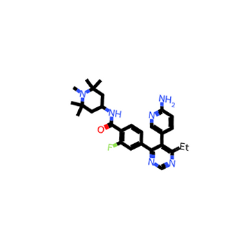 CCc1ncnc(-c2ccc(C(=O)NC3CC(C)(C)N(C)C(C)(C)C3)c(F)c2)c1-c1ccc(N)nc1